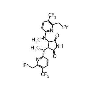 CC(C)Cc1nc(N(C)C2C(=O)NC(=O)C2N(C)c2ccc(C(F)(F)F)c(CC(C)C)n2)ccc1C(F)(F)F